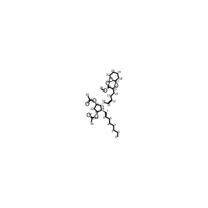 CCCCCC/C=C/[C@@H]1[C@@H](C/C=C\CCC(OC2CCCCO2)C(=O)OC)[C@H](OC(C)=O)C[C@@H]1OC(C)=O